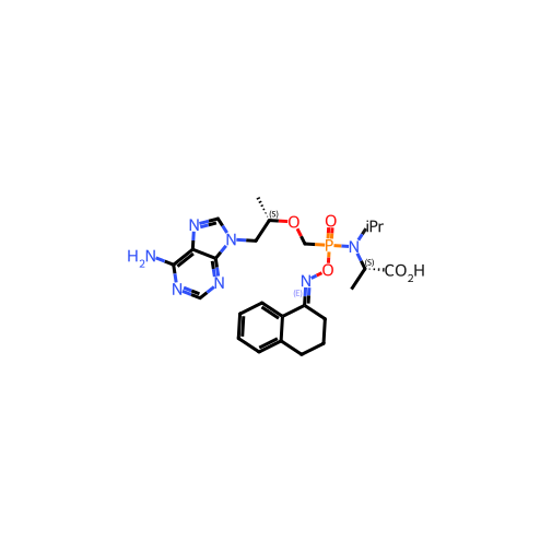 CC(C)N([C@@H](C)C(=O)O)P(=O)(CO[C@@H](C)Cn1cnc2c(N)ncnc21)O/N=C1\CCCc2ccccc21